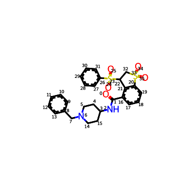 O=C(NC1CCN(Cc2ccccc2)CC1)c1cccc2c1C(S(=O)(=O)c1ccccc1)CS2(=O)=O